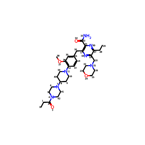 CCC(=O)N1CCN(C2CCN(c3ccc(Cc4nc(CN5CCOCC5)c(CC)nc4C(N)=O)cc3OC)CC2)CC1